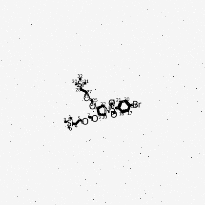 C[Si](C)(C)CCOCO[C@H]1CN(S(=O)(=O)c2ccc(Br)cc2)C[C@H]1OCOCC[Si](C)(C)C